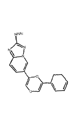 CC(=O)Nc1nc2ccc(C3=COC=C(C4=CC=CCC4)O3)cn2n1